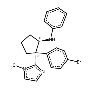 Cn1ccnc1[C@]1(c2ccc(Br)cc2)CCC[C@H]1Nc1ccccc1